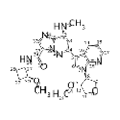 CNc1cc(-c2cn([C@H]3COC[C@@H]3OC)c3ncccc23)nn2c(C(=O)N[C@H]3CC[C@@H]3OC)cnc12